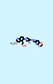 COc1cnc2ccc(N3CC4[C@@H](NCc5ccc6c(n5)OCCO6)[C@H]4C3)c(CCO)c2c1